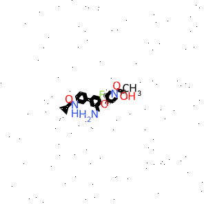 C[C@H](O)C(=O)N1CC[C@H](Oc2ccc(-c3cccc(NC(=O)C4CC4)c3)cc2CN)[C@H](F)C1